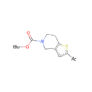 CC(=O)c1cc2c(s1)CCN(C(=O)OC(C)(C)C)C2